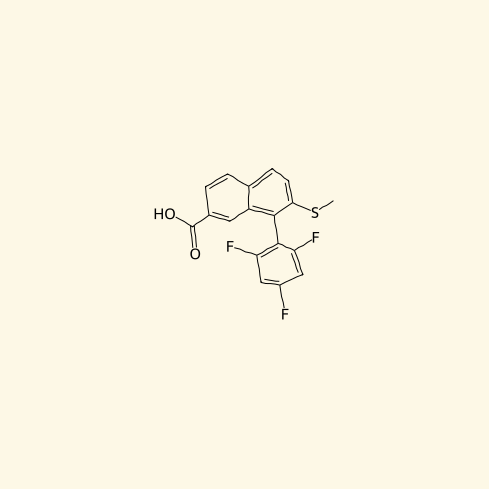 CSc1ccc2ccc(C(=O)O)cc2c1-c1c(F)cc(F)cc1F